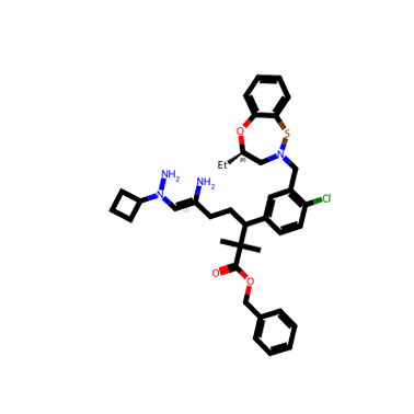 CC[C@@H]1CN(Cc2cc(C(CC/C(N)=C/N(N)C3CCC3)C(C)(C)C(=O)OCc3ccccc3)ccc2Cl)Sc2ccccc2O1